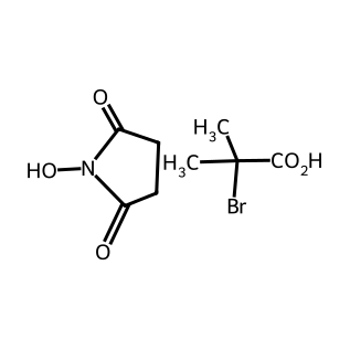 CC(C)(Br)C(=O)O.O=C1CCC(=O)N1O